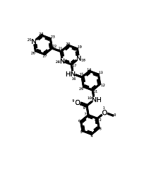 COc1ccccc1C(=O)Nc1cccc(Nc2nccc(-c3ccncc3)n2)c1